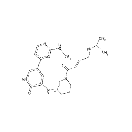 CNc1cc(-c2c[nH]c(=O)c(N[C@H]3CCCN(C(=O)C=CCNC(C)C)C3)c2)ccn1